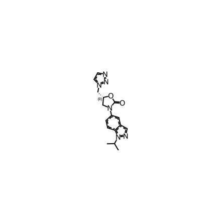 CC(C)n1ncc2cc(N3C[C@H](Cn4ccnn4)OC3=O)ccc21